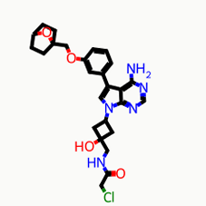 Nc1ncnc2c1c(-c1cccc(OCC34CCC(CC3)O4)c1)cn2C1CC(O)(CNC(=O)CCl)C1